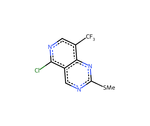 CSc1ncc2c(Cl)ncc(C(F)(F)F)c2n1